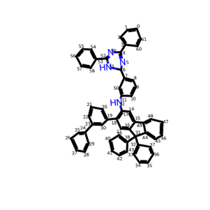 c1ccc(C2=NC(c3cccc(Nc4cc5c(cc4-c4cccc(-c6ccccc6)c4)C(c4ccccc4)(c4ccccc4)c4ccccc4-5)c3)NC(c3ccccc3)=N2)cc1